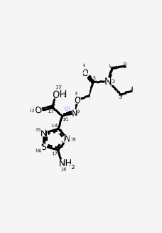 CCN(CC)C(=O)CO/N=C(\C(=O)O)c1nsc(N)n1